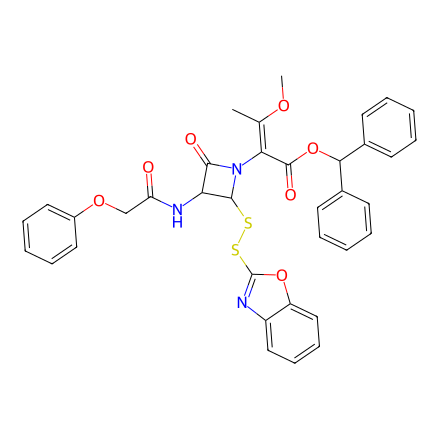 CO/C(C)=C(\C(=O)OC(c1ccccc1)c1ccccc1)N1C(=O)C(NC(=O)COc2ccccc2)C1SSc1nc2ccccc2o1